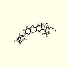 CN(C)C(c1ccc(Oc2ccc(C34CC5CC(C3)C(C5)C4)cc2)cc1)C(F)(F)F